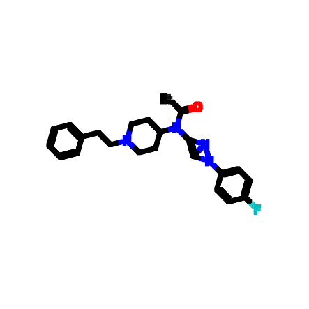 CCC(=O)N(c1c2n(-c3ccc(F)cc3)n1-2)C1CCN(CCc2ccccc2)CC1